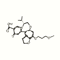 COCCCOc1cc2c(c3c1OCC3)-c1cc(=O)c(C(=O)O)cn1[C@H](C(C)C)CO2